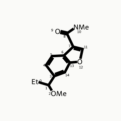 CCC(OC)c1ccc2c(C(=O)NC)coc2c1